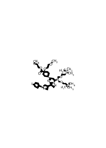 COCCOC(=O)[C@]1(OCCOC)CC[C@@H](c2cc(N(COCC[Si](C)(C)C)COCC[Si](C)(C)C)n3ncc(-c4cnn(-c5ccc(F)cc5)c4)c3n2)CC1